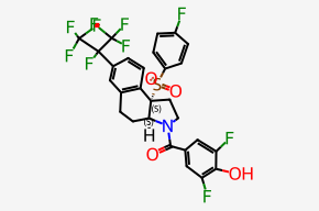 O=C(c1cc(F)c(O)c(F)c1)N1CC[C@]2(S(=O)(=O)c3ccc(F)cc3)c3ccc(C(F)(C(F)(F)F)C(F)(F)F)cc3CC[C@H]12